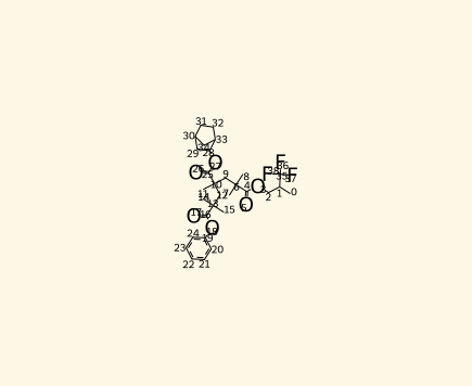 CC(COC(=O)C(C)(C)CC(C)(CC(C)(C)C(=O)Oc1ccccc1)C(=O)OC1CC2CCC1C2)C(F)(F)F